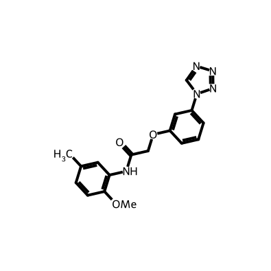 COc1ccc(C)cc1NC(=O)COc1cccc(-n2cnnn2)c1